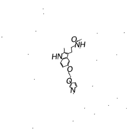 CC(=O)NCCc1c(C)[nH]c2ccc(OCCOc3ccn(C)c3)cc12